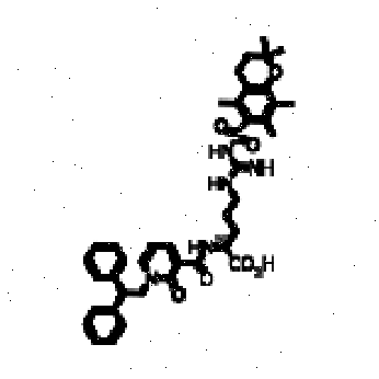 Cc1c(C)c(S(=O)(=O)NC(=N)NCCC[C@H](NC(=O)c2cccn(CC(c3ccccc3)c3ccccc3)c2=O)C(=O)O)c(C)c2c1OC(C)(C)CC2